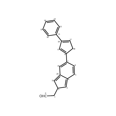 O=CCC1C=c2ccc(C3=CC(c4ccccc4)=CC3)cc2=C1